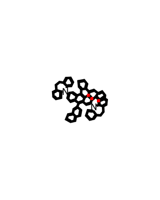 c1ccc2c(c1)CCc1ccccc1N2c1ccc2c(-c3ccccc3-c3ccc4ccccc4c3)c3cc(N4c5ccccc5CCc5ccccc54)ccc3c(-c3ccc4ccccc4c3)c2c1